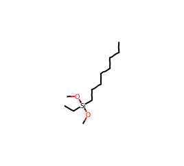 CCCCCCCC[Si](CC)(OC)OC